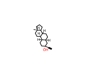 C#C[C@@]1(O)CC[C@H]2[C@H](CC[C@@H]3[C@@H]2CC[C@]2(C)CCC[C@@H]32)C1